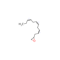 CC/C=C\C/C=C\C/C=C\CC1CO1